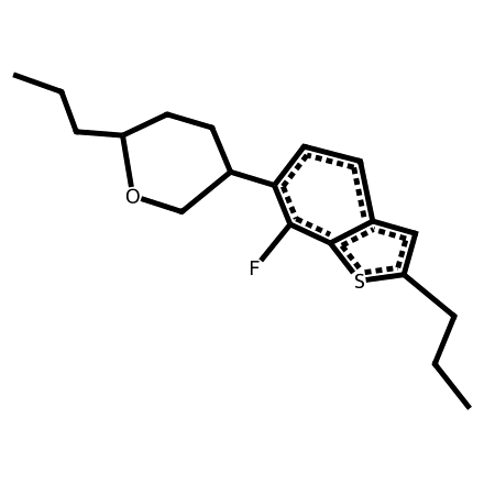 CCCc1cc2ccc(C3CCC(CCC)OC3)c(F)c2s1